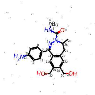 CCCCNC(=O)N1N=C(c2ccc(N)cc2)c2cc(CO)c(CO)cc2CC1C